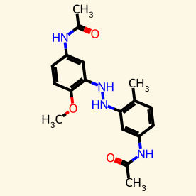 COc1ccc(NC(C)=O)cc1NNc1cc(NC(C)=O)ccc1C